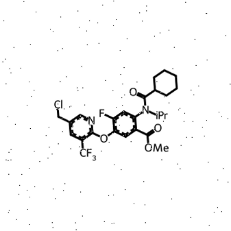 COC(=O)c1cc(Oc2ncc(CCl)cc2C(F)(F)F)c(F)cc1N(C(=O)C1CCCCC1)C(C)C